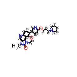 Cn1c(=O)n2c3c4c(c(-c5ccc(OCCCN6CCCCC6)nc5)ccc4ncc31)OCC2